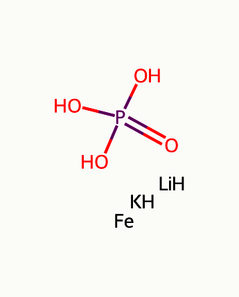 O=P(O)(O)O.[Fe].[KH].[LiH]